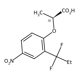 CCC(F)(F)c1cc([N+](=O)[O-])ccc1O[C@@H](C)C(=O)O